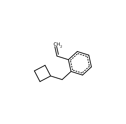 C=Cc1ccccc1CC1CCC1